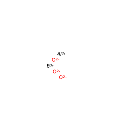 [Al+3].[B+3].[O-2].[O-2].[O-2]